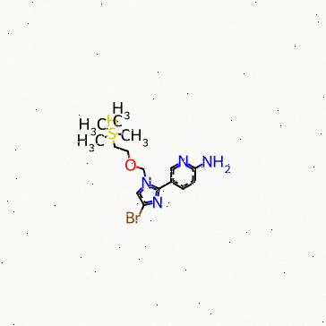 C[SH](C)(C)(C)CCOCn1cc(Br)nc1-c1ccc(N)nc1